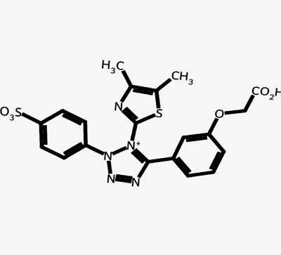 Cc1nc(-[n+]2c(-c3cccc(OCC(=O)O)c3)nnn2-c2ccc(S(=O)(=O)O)cc2)sc1C